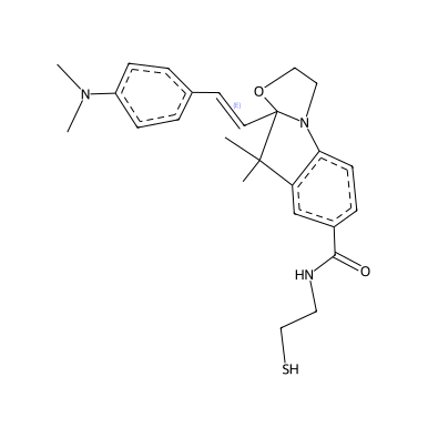 CN(C)c1ccc(/C=C/C23OCCN2c2ccc(C(=O)NCCS)cc2C3(C)C)cc1